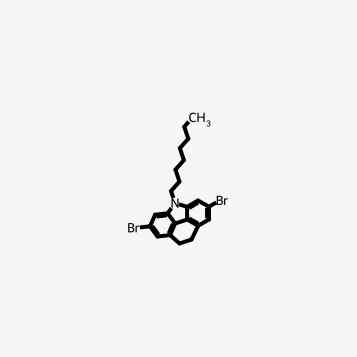 CCCCCCCCn1c2cc(Br)cc3c2c2c(cc(Br)cc21)CC3